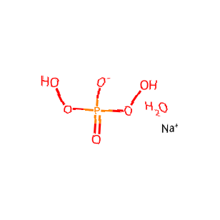 O.O=P([O-])(OO)OO.[Na+]